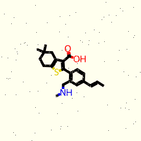 C/C=C/c1ccc(-c2sc3c(c2C(=O)O)CC(C)(C)CC3)c(CNC)c1